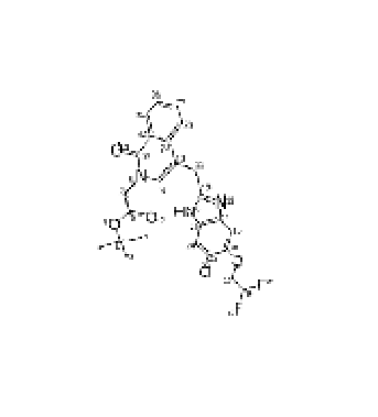 CC(C)(C)OC(=O)Cn1cc(Cc2nc3cc(OCC(F)F)c(Cl)cc3[nH]2)c2ccccc2c1=O